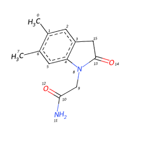 Cc1cc2c(cc1C)N(CC(N)=O)C(=O)C2